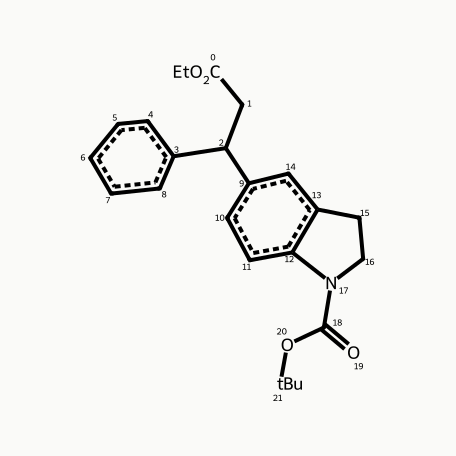 CCOC(=O)CC(c1ccccc1)c1ccc2c(c1)CCN2C(=O)OC(C)(C)C